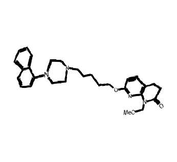 COCN1C(=O)CCc2ccc(OCCCCCN3CCN(c4cccc5ccccc45)CC3)nc21